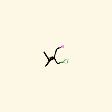 CC(C)=C(CCl)CI